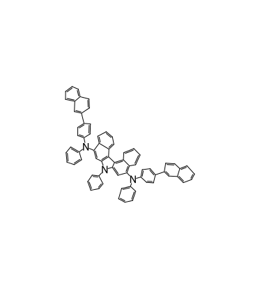 c1ccc(N(c2ccc(-c3ccc4ccccc4c3)cc2)c2cc3c(c4ccccc24)c2c4ccccc4c(N(c4ccccc4)c4ccc(-c5ccc6ccccc6c5)cc4)cc2n3-c2ccccc2)cc1